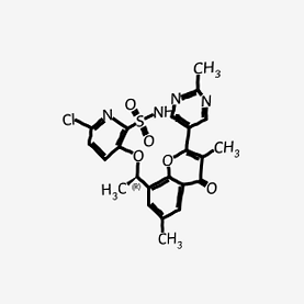 Cc1cc([C@@H](C)Oc2ccc(Cl)nc2S(N)(=O)=O)c2oc(-c3cnc(C)nc3)c(C)c(=O)c2c1